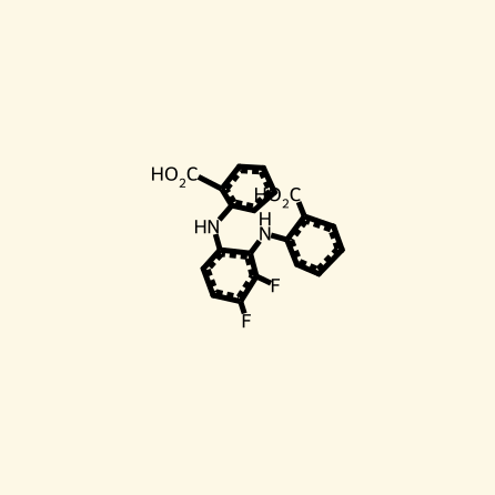 O=C(O)c1ccccc1Nc1ccc(F)c(F)c1Nc1ccccc1C(=O)O